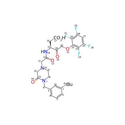 CC(C)(C)c1cccc(CN2CCN(CC(=O)N[C@@H](CC(=O)O)C(=O)COc3c(F)c(F)cc(F)c3F)CC2=O)c1